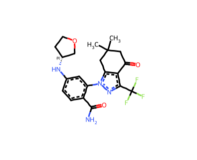 CC1(C)CC(=O)c2c(C(F)(F)F)nn(-c3cc(N[C@@H]4CCOC4)ccc3C(N)=O)c2C1